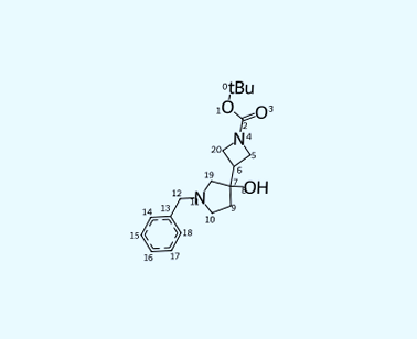 CC(C)(C)OC(=O)N1CC(C2(O)CCN(Cc3ccccc3)C2)C1